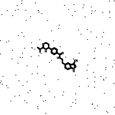 CN(C)C1=NCCC(c2ccc(C(=O)NCCc3ccc4[nH]cc(C#N)c4c3)cc2)N1